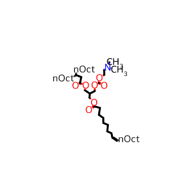 CCCCCCCC/C=C\CCCCCCCC(=O)OCC(COC(=O)CC(CCCCCCCC)CCCCCCCC)COC(=O)OCCN(C)C